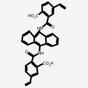 C=Cc1ccc(C(=O)Nc2c3ccccc3c(NC(=O)c3cc(C=C)ccc3C(=O)O)c3ccccc23)c(C(=O)O)c1